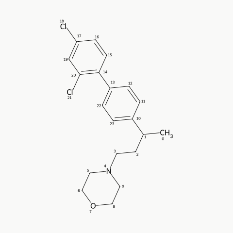 CC(CCN1CCOCC1)c1ccc(-c2ccc(Cl)cc2Cl)cc1